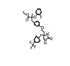 CCOC(=O)C(C)(Cc1ccc(OCCC2(Cc3ccc(C(F)(F)F)cc3)CNC(=O)N2C)cc1)Oc1ccccc1F